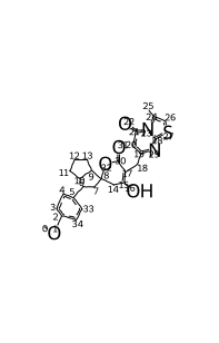 COc1ccc(CCC2(C3CCCC3)CC(O)=C(Cc3cc(=O)n4c(C)csc4n3)C(=O)O2)cc1